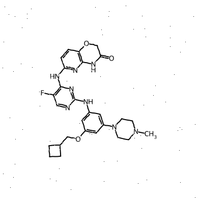 CN1CCN(c2cc(Nc3ncc(F)c(Nc4ccc5c(n4)NC(=O)CO5)n3)cc(OCC3CCC3)c2)CC1